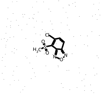 CS(=O)(=O)c1c(Cl)ccc2nonc12